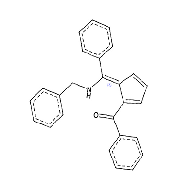 O=C(C1=CC=C/C1=C(/NCc1ccccc1)c1ccccc1)c1ccccc1